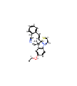 CCOc1ccc2c(c1)C(C)(C)C1(/C=C/c3ccccc3C#N)SCCN21